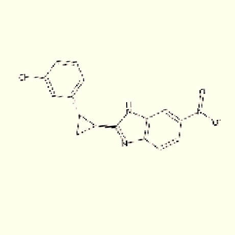 O=[N+]([O-])c1ccc2nc([C@H]3C[C@@H]3c3cccc(Cl)c3)[nH]c2c1